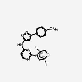 COc1ccc(-c2cc(Nc3ccnc(N4C[C@@H]5C[C@H]4CO5)n3)on2)cc1